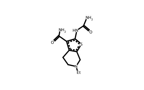 CCN1CCc2c(sc(NC(N)=O)c2C(N)=O)C1